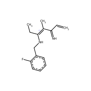 C=CC(=N)/C(C)=C(/CC)NCc1ccccc1F